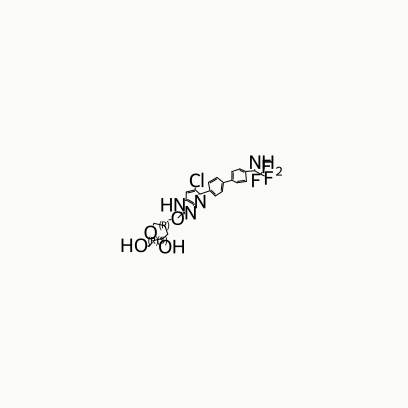 NC(c1ccc(-c2ccc(-c3nc4nc(OC[C@H]5CO[C@H](CO)[C@@H](O)C5)[nH]c4cc3Cl)cc2)cc1)C(F)(F)F